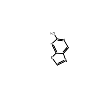 Oc1ncc2ncsc2n1